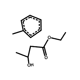 CCOC(=O)CC(C)O.Cc1ccccc1